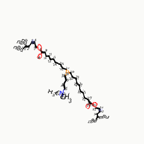 CCCCC(C/C=C\COC(=O)CCCCCCCCCP(CCCCCCCCCC(=O)OC/C=C\CC(CCCC)CCCC)CCCCN(C)C)CCCC